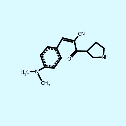 CN(C)c1ccc(C=C(C#N)C(=O)C2CCNC2)cc1